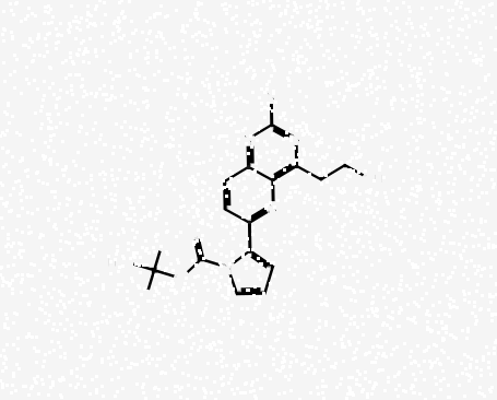 CCCc1nc(N)nc2ccc(-c3cccn3C(=O)OC(C)(C)C)nc12